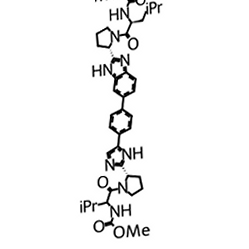 COC(=O)NC(C(=O)N1CCC[C@H]1c1ncc(-c2ccc(-c3ccc4nc([C@@H]5CCCN5C(=O)[C@H](CC(C)C)NC(=O)OC)[nH]c4c3)cc2)[nH]1)C(C)C